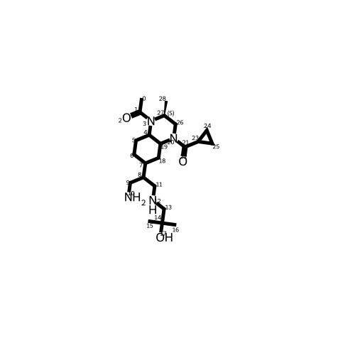 CC(=O)N1C2CCC(C(CN)CNCC(C)(C)O)CC2N(C(=O)C2CC2)C[C@@H]1C